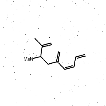 C=C/C=C\C(=C)CC(NC)C(=C)C